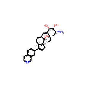 C[C@]12CC=C3C=C4[C@@H](O)[C@H](O)[C@@H](N)C[C@]45CC[C@]3(O5)[C@@H]1CC=C2c1ccc2ccncc2c1